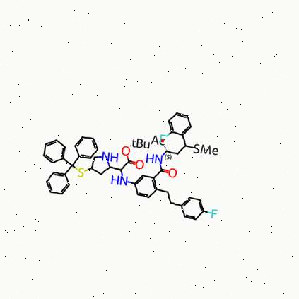 CSC(C[C@H](NC(=O)c1cc(NC(C(=O)OC(C)(C)C)C2CC(SC(c3ccccc3)(c3ccccc3)c3ccccc3)CN2)ccc1CCc1ccc(F)cc1)C(C)=O)c1ccccc1F